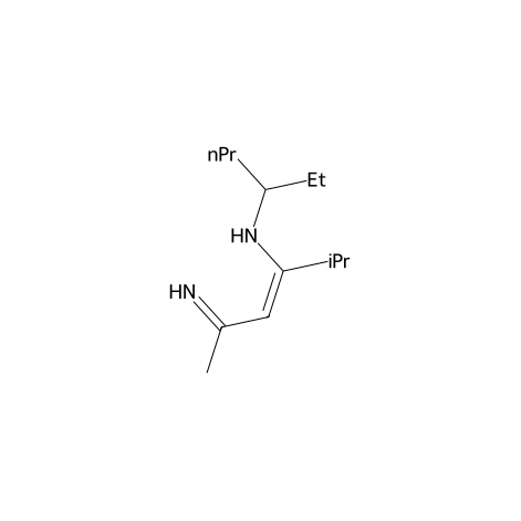 CCCC(CC)N/C(=C\C(C)=N)C(C)C